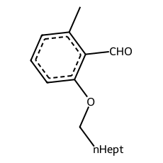 CCCCCCCCOc1cccc(C)c1C=O